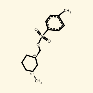 Cc1ccc(S(=O)(=O)OC[C@@H]2CCC[C@@H](C)C2)cc1